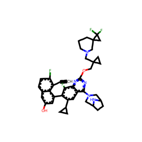 C#Cc1c(F)ccc2cc(O)cc(-c3c(C4CC4)cc4c(N5CC6CCC(C5)N6)nc(OCC5(CN6CCCC7(C6)CC7(F)F)CC5)nc4c3F)c12